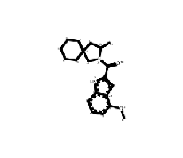 COc1cccc2[nH]c(C(=O)N3CC4(CCCCC4)CC3C)cc12